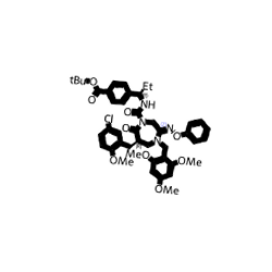 CC[C@@H](NC(=O)N1C/C(=N/Oc2ccccc2)N(Cc2c(OC)cc(OC)cc2OC)C[C@@H](Cc2cc(Cl)ccc2OC)C1=O)c1ccc(C(=O)OC(C)(C)C)cc1